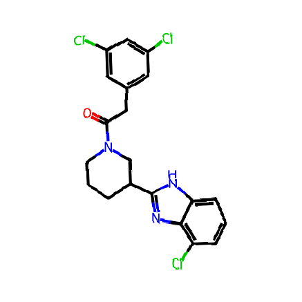 O=C(Cc1cc(Cl)cc(Cl)c1)N1CCCC(c2nc3c(Cl)cccc3[nH]2)C1